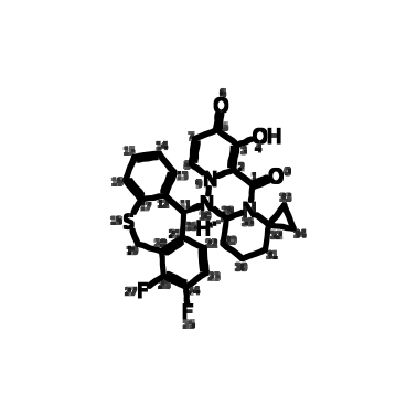 O=C1c2c(O)c(=O)ccn2N([C@@H]2c3ccccc3SCc3c2ccc(F)c3F)[C@@H]2CCCC3(CC3)N12